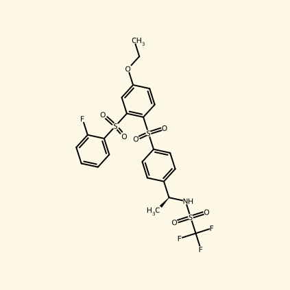 CCOc1ccc(S(=O)(=O)c2ccc([C@H](C)NS(=O)(=O)C(F)(F)F)cc2)c(S(=O)(=O)c2ccccc2F)c1